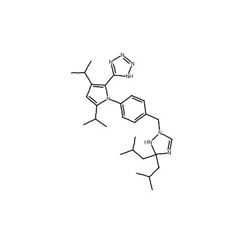 CC(C)CC1(CC(C)C)N=CN(Cc2ccc(-n3c(C(C)C)cc(C(C)C)c3-c3nnn[nH]3)cc2)N1